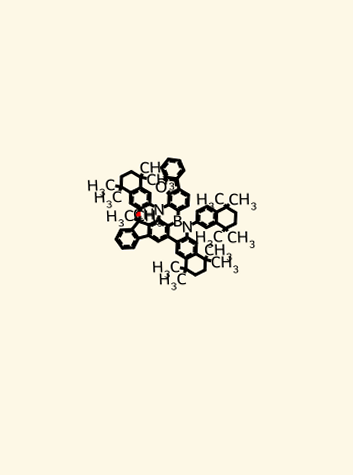 Cc1cc2c(cc1N1c3c4c(cc5c3C(C)(C)c3ccccc3-5)-c3cc5c(cc3N(c3ccc6c(c3)C(C)(C)CCC6(C)C)B4c3ccc4c(oc6ccccc64)c31)C(C)(C)CCC5(C)C)C(C)(C)CCC2(C)C